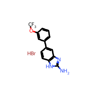 Br.Nc1nc2cc(-c3cccc(OC(F)(F)F)c3)ccc2[nH]1